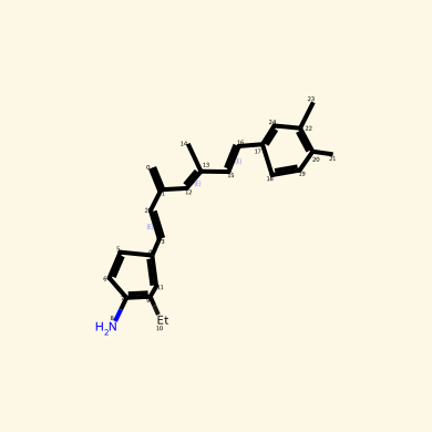 C=C(/C=C/c1ccc(N)c(CC)c1)/C=C(C)/C=C/c1ccc(C)c(C)c1